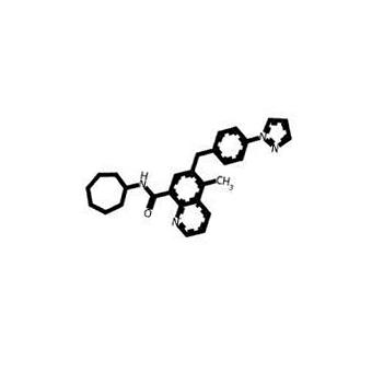 Cc1c(Cc2ccc(-n3cccn3)cc2)cc(C(=O)NC2CCCCCC2)c2ncccc12